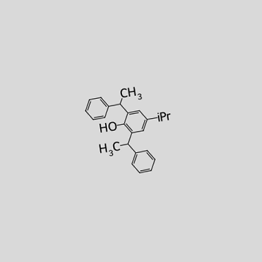 CC(C)c1cc(C(C)c2ccccc2)c(O)c(C(C)c2ccccc2)c1